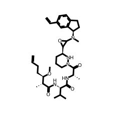 C=CCC[C@@H](OC)[C@@H](C)C(=O)N[C@H](C(=O)N[C@@H](C)C(=O)N1CCC[C@@H](C2OC2N(C)[C@@H]2CCc3ccc(C=C)cc32)N1)C(C)C